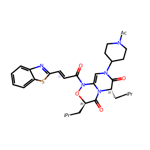 CC(=O)N1CCC(N2C=C3N(C(=O)/C=C/c4nc5ccccc5s4)O[C@H](CC(C)C)C(=O)N3[C@@H](CC(C)C)C2=O)CC1